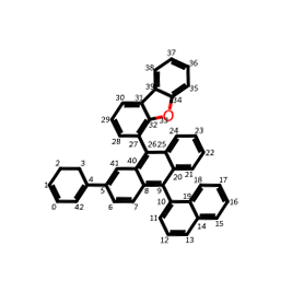 C1=CCCC(c2ccc3c(-c4cccc5ccccc45)c4ccccc4c(-c4cccc5c4oc4ccccc45)c3c2)=C1